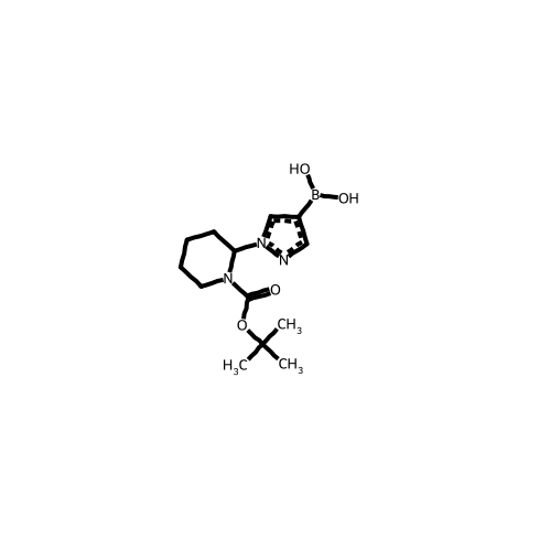 CC(C)(C)OC(=O)N1CCCCC1n1cc(B(O)O)cn1